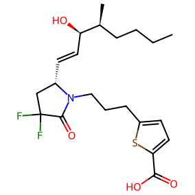 CCCC[C@H](C)[C@H](O)/C=C/[C@H]1CC(F)(F)C(=O)N1CCCc1ccc(C(=O)O)s1